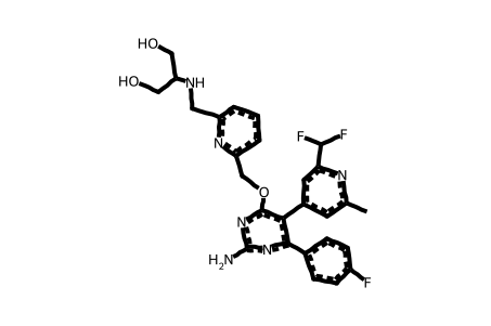 Cc1cc(-c2c(OCc3cccc(CNC(CO)CO)n3)nc(N)nc2-c2ccc(F)cc2)cc(C(F)F)n1